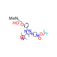 CNCC(O)COc1cccc(-c2nc(-c3c(C)noc3C)c(C)c(N3CCN(C(=O)OCC(F)F)CC3)n2)c1